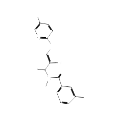 CCC/C(=C\Oc1ccc(F)cn1)C(CC)N(C)C(=O)c1cccc(C)c1